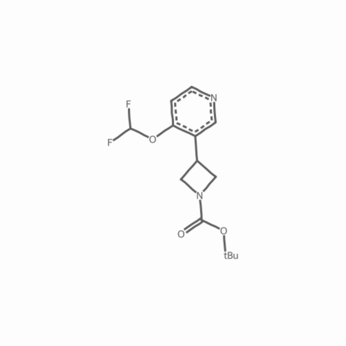 CC(C)(C)OC(=O)N1CC(c2cnccc2OC(F)F)C1